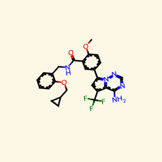 COc1ccc(-c2cc(C(F)(F)F)c3c(N)ncnn23)cc1C(=O)NCc1ccccc1OCC1CC1